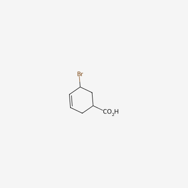 O=C(O)C1CC=CC(Br)C1